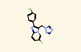 Fc1ccc2nc(-c3ccc(Cl)cc3)c(Cn3cncn3)n2c1